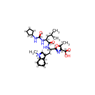 Cc1oc([C@@H](Cc2cn(C)c3ccccc23)NC(=O)C(CC(C)C)NC(=O)NC2CCCC2)nc1C(=O)O